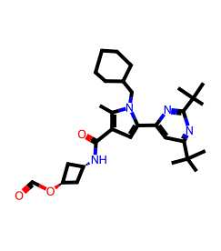 Cc1c(C(=O)N[C@H]2C[C@H](OC=O)C2)cc(-c2cc(C(C)(C)C)nc(C(C)(C)C)n2)n1CC1CCCCC1